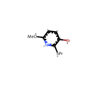 CCCc1nc(OC)ccc1Br